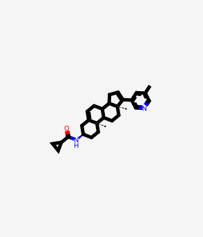 Cc1cncc(C2=CCC3C4CC=C5C[C@H](NC(=O)C6CC6)CC[C@]5(C)C4CC[C@]23C)c1